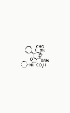 COC(=O)c1c(-c2c3cccccc-3c(C=O)c2[Si](C)(C)C(C)(C)C)oc(NC2CCCCC2)c1C(=O)O